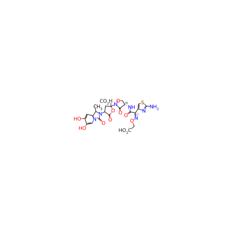 CC1c2cc(O)c(O)c[n+]2C(=O)N1C1CC(C(=O)O)(N2OC[C@H](NC(=O)/C(=N\OCC(=O)O)c3csc(N)n3)C2=O)OC1=O